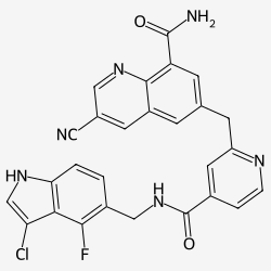 N#Cc1cnc2c(C(N)=O)cc(Cc3cc(C(=O)NCc4ccc5[nH]cc(Cl)c5c4F)ccn3)cc2c1